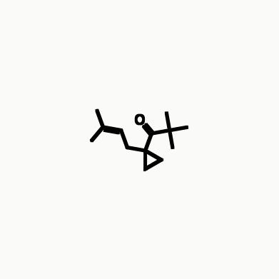 CC(C)=CCC1(C(=O)C(C)(C)C)CC1